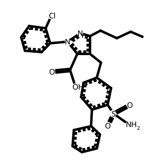 CCCCc1nn(-c2ccccc2Cl)c(C(=O)O)c1Cc1ccc(-c2ccccc2)c(S(N)(=O)=O)c1